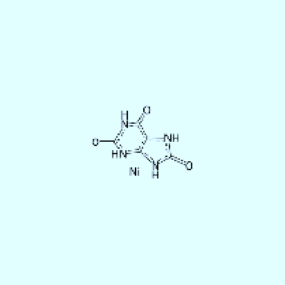 O=c1[nH]c(=O)c2[nH]c(=O)[nH]c2[nH]1.[Ni]